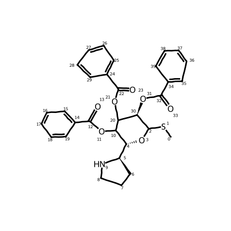 CSC1O[C@H]([C@H]2CCCN2)C(OC(=O)c2ccccc2)C(OC(=O)c2ccccc2)[C@H]1OC(=O)c1ccccc1